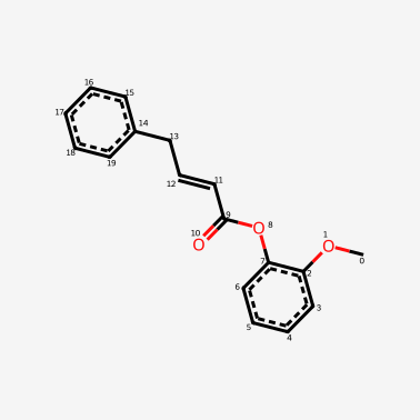 COc1ccccc1OC(=O)C=CCc1ccccc1